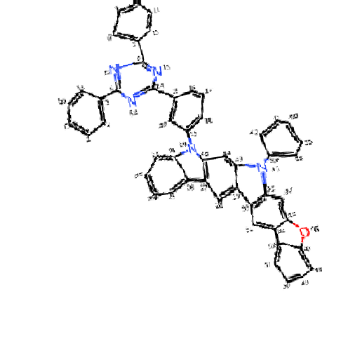 c1ccc(-c2nc(-c3ccccc3)nc(-c3cccc(-n4c5ccccc5c5cc6c7cc8c(cc7n(-c7ccccc7)c6cc54)oc4ccccc48)c3)n2)cc1